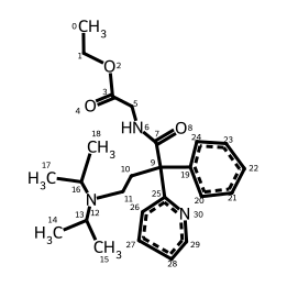 CCOC(=O)CNC(=O)C(CCN(C(C)C)C(C)C)(c1ccccc1)c1ccccn1